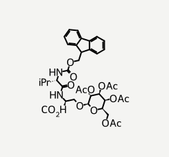 CC(=O)OC[C@H]1O[C@@H](OC[C@H](NC(=O)[C@@H](NC(=O)OCC2c3ccccc3-c3ccccc32)C(C)C)C(=O)O)[C@H](OC(C)=O)[C@@H](OC(C)=O)[C@H]1OC(C)=O